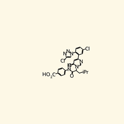 CC(C)CC(C(=O)Nc1ccc(C(=O)O)cc1)n1cnc(-c2cc(Cl)ccc2-n2cc(Cl)nn2)cc1=O